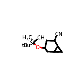 CC(C)(C)[Si](C)(C)OC1CC(C#N)C2CC2C1